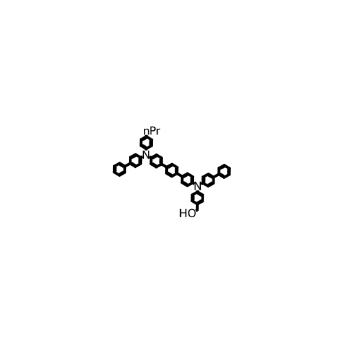 CCCc1ccc(N(c2ccc(-c3ccccc3)cc2)c2ccc(-c3ccc(-c4ccc(N(c5ccc(CO)cc5)c5ccc(-c6ccccc6)cc5)cc4)cc3)cc2)cc1